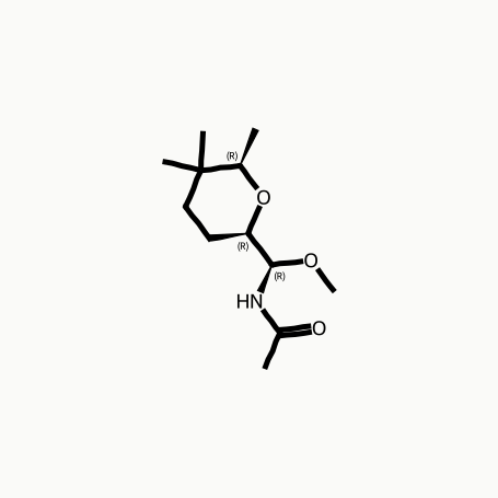 CO[C@@H](NC(C)=O)[C@H]1CCC(C)(C)[C@@H](C)O1